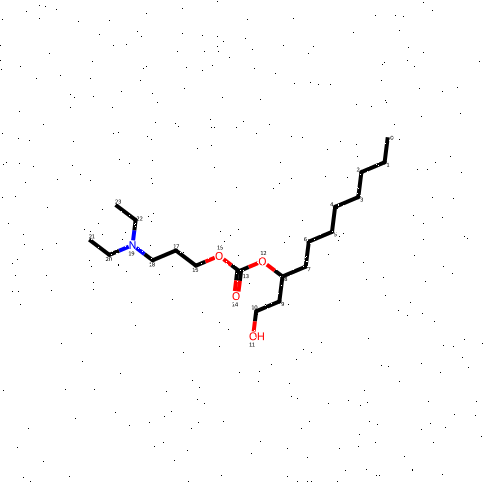 CCCCCCCCC(CCO)OC(=O)OCCCN(CC)CC